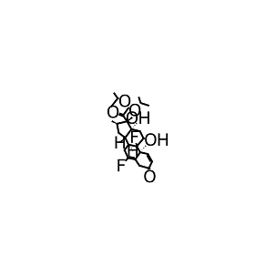 CC(C)OC(OC(C)C)C(=O)[C@@]1(O)[C@H](C)C[C@H]2[C@@H]3CC(F)=C4CC(=O)C=C[C@]4(C)[C@@]3(F)[C@@H](O)C[C@@]21C